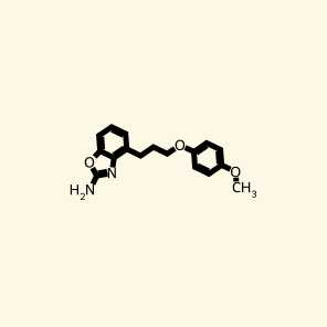 COc1ccc(OCCCc2cccc3oc(N)nc23)cc1